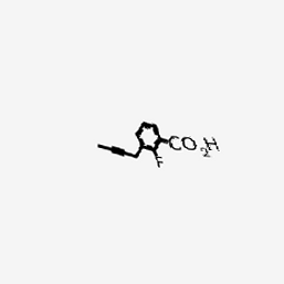 CC#CCc1cccc(C(=O)O)c1F